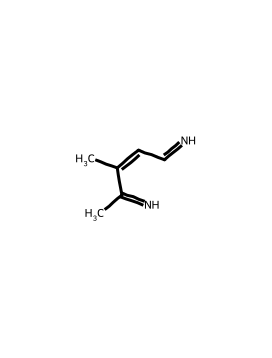 CC(=N)/C(C)=C\C=N